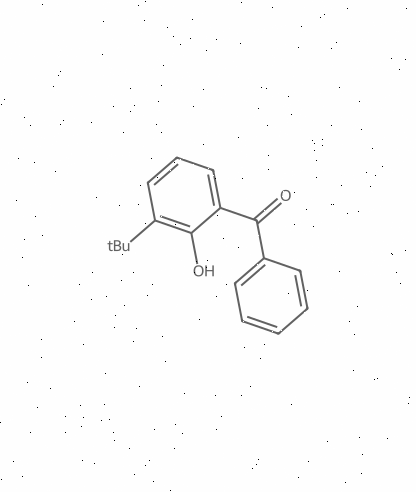 CC(C)(C)c1cccc(C(=O)c2ccccc2)c1O